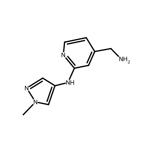 Cn1cc(Nc2cc(CN)ccn2)cn1